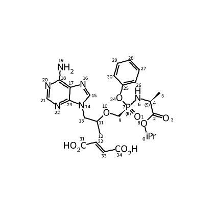 CC(C)OC(=O)[C@H](C)N[P@@](=O)(COC(C)Cn1cnc2c(N)ncnc21)Oc1ccccc1.O=C(O)C=CC(=O)O